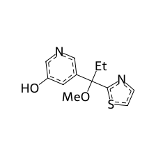 CCC(OC)(c1cncc(O)c1)c1nccs1